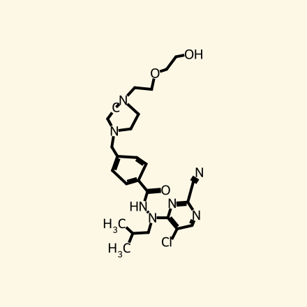 CC(C)CN(NC(=O)c1ccc(CN2CCN(CCOCCO)CC2)cc1)c1nc(C#N)ncc1Cl